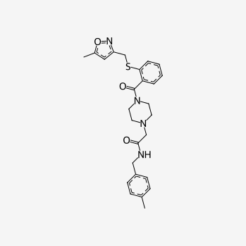 Cc1ccc(CNC(=O)CN2CCN(C(=O)c3ccccc3SCc3cc(C)on3)CC2)cc1